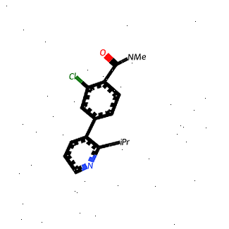 CNC(=O)c1ccc(-c2cccnc2C(C)C)cc1Cl